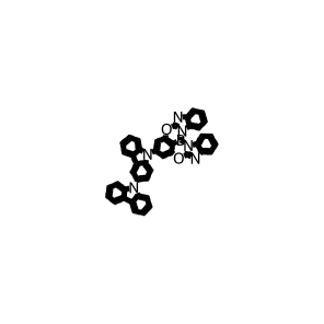 c1ccc2c(c1)nc1n2B2c3c(cc(-n4c5ccccc5c5cc(-n6c7ccccc7c7ccccc76)ccc54)cc3Oc3nc4ccccc4n32)O1